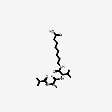 CC(C)C(=O)N[C@H](C)C(=O)N[C@@H](C(=O)NCCCCCCCC(=O)O)C(C)C